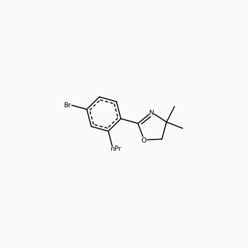 CCCc1cc(Br)ccc1C1=NC(C)(C)CO1